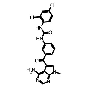 Cn1cc(C(=O)c2cccc(NC(=O)Nc3ccc(Cl)cc3Cl)c2)c2c(N)ncnc21